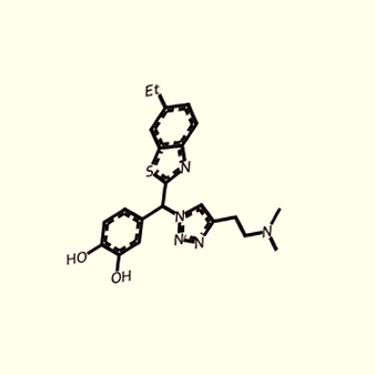 CCc1ccc2nc(C(c3ccc(O)c(O)c3)n3cc(CCN(C)C)nn3)sc2c1